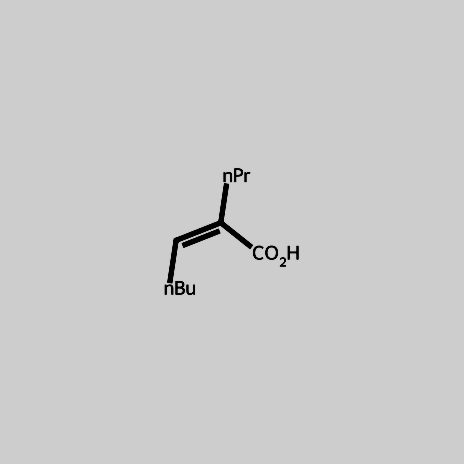 CCCCC=C(CCC)C(=O)O